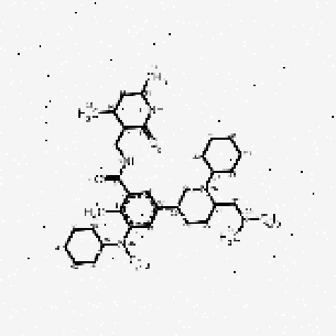 Cc1c(C(=O)NCC2C(=O)NC(C)CC2C)cc(C2CCC(CN(C)C)N(C3CCCCC3)C2)cc1N(C)C1CCCCC1